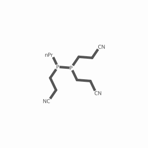 CCCP(CCC#N)P(CCC#N)CCC#N